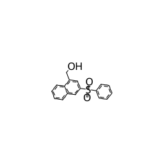 O=S(=O)(c1ccccc1)c1cc(CO)c2ccccc2c1